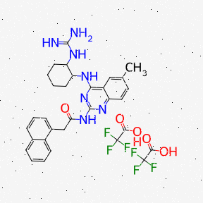 Cc1ccc2nc(NC(=O)Cc3cccc4ccccc34)nc(NC3CCCCC3NC(=N)N)c2c1.O=C(O)C(F)(F)F.O=C(O)C(F)(F)F